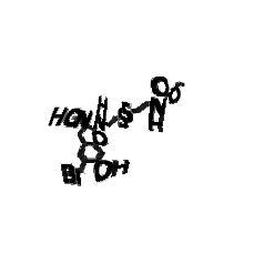 CCOC(=O)NCCSSCCNC(=O)/C(Cc1ccc(O)c(Br)c1)=N/O